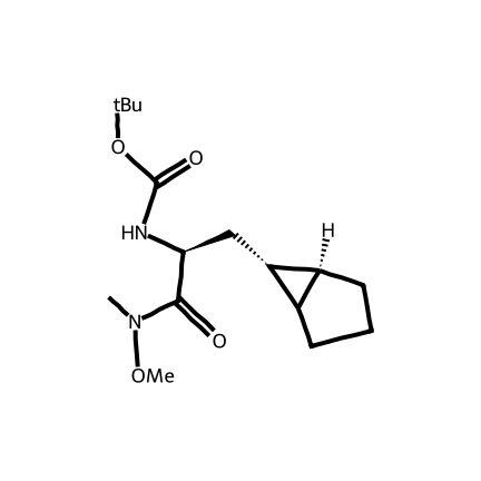 CON(C)C(=O)[C@H](C[C@H]1C2CCC[C@@H]21)NC(=O)OC(C)(C)C